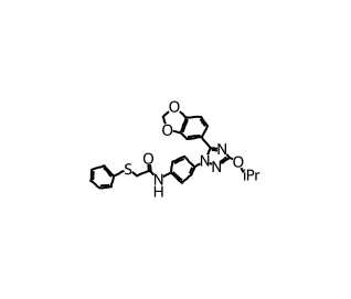 CC(C)Oc1nc(-c2ccc3c(c2)OCO3)n(-c2ccc(NC(=O)CSc3ccccc3)cc2)n1